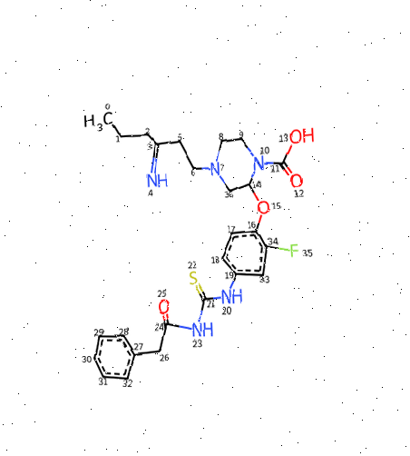 CCCC(=N)CCN1CCN(C(=O)O)C(Oc2ccc(NC(=S)NC(=O)Cc3ccccc3)cc2F)C1